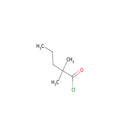 CCCC(C)(C)C(=O)Cl